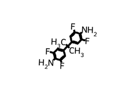 CC(C)(c1cc(F)c(N)c(F)c1)c1cc(F)c(N)c(F)c1